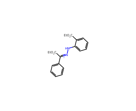 CCOC(=O)/C(=N\Nc1ccccc1C(=O)OCC)c1ccccc1